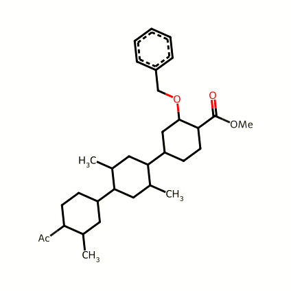 COC(=O)C1CCC(C2CC(C)C(C3CCC(C(C)=O)C(C)C3)CC2C)CC1OCc1ccccc1